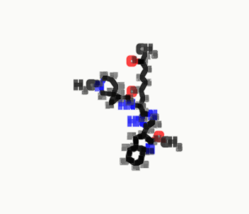 CCC(=O)CCCCC[C@H](NC(=O)[C@H]1CC12CCCN(C)C2)c1ncc(-c2cc3ccccc3nc2OC)[nH]1